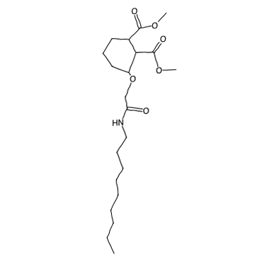 CCCCCCCCCNC(=O)COC1CCCC(C(=O)OC)C1C(=O)OC